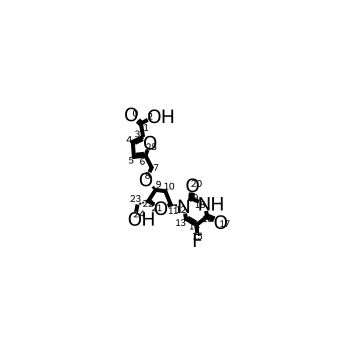 O=C(O)c1ccc(CO[C@H]2C[C@H](n3cc(F)c(=O)[nH]c3=O)O[C@@H]2CO)o1